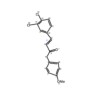 COc1ccc(CC(=O)/C=C/c2ccc(Cl)c(Cl)c2)cc1